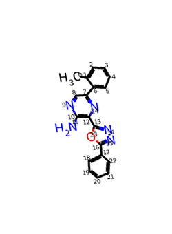 Cc1ccccc1-c1cnc(N)c(-c2nnc(-c3ccccc3)o2)n1